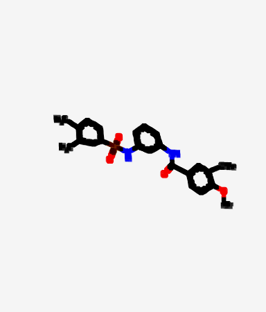 CCCOc1ccc(C(=O)Nc2cccc(NS(=O)(=O)c3ccc(C)c(C)c3)c2)cc1OC